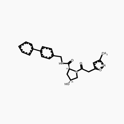 Cc1cc(CC(=O)N2C[C@H](O)C[C@H]2C(=O)NCc2ccc(-c3ccccc3)cc2)on1